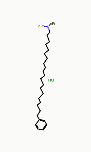 CCCN(CCC)CCCCCCCCCCCCCCCCCCCCc1ccccc1.Cl